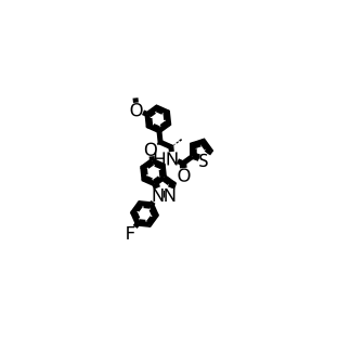 COc1cccc([C@@H](Oc2ccc3c(cnn3-c3ccc(F)cc3)c2)[C@H](C)NC(=O)c2cccs2)c1